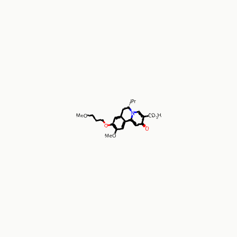 COCCCOc1cc2c(cc1OC)-c1cc(=O)c(C(=O)O)cn1[C@@H](C(C)C)C2